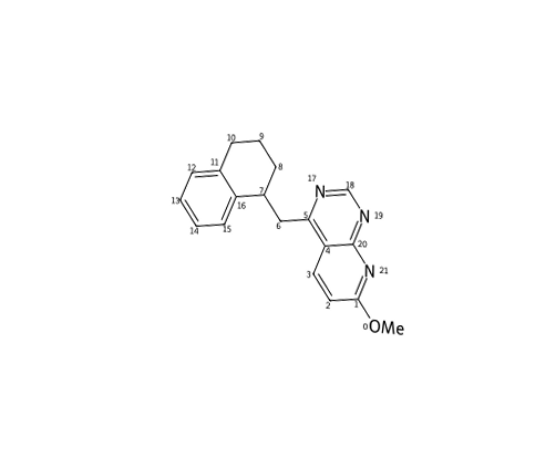 COc1ccc2c(CC3CCCc4ccccc43)ncnc2n1